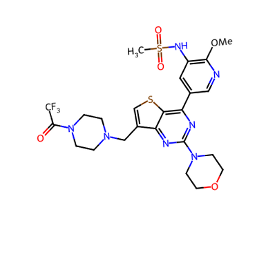 COc1ncc(-c2nc(N3CCOCC3)nc3c(CN4CCN(C(=O)C(F)(F)F)CC4)csc23)cc1NS(C)(=O)=O